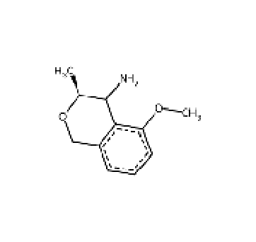 COc1cccc2c1C(N)[C@H](C)OC2